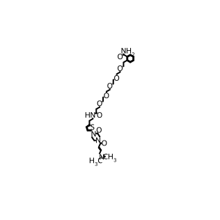 CN(C)CC=CC(=O)N1CCN(c2ccc(CCNC(=O)CCOCCOCCOCCOCCOCCc3ccccc3C(N)=O)s2)C(=O)C1